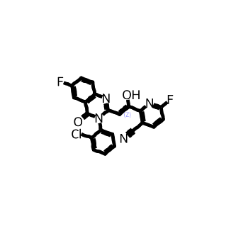 N#Cc1ccc(F)nc1/C(O)=C/c1nc2ccc(F)cc2c(=O)n1-c1ccccc1Cl